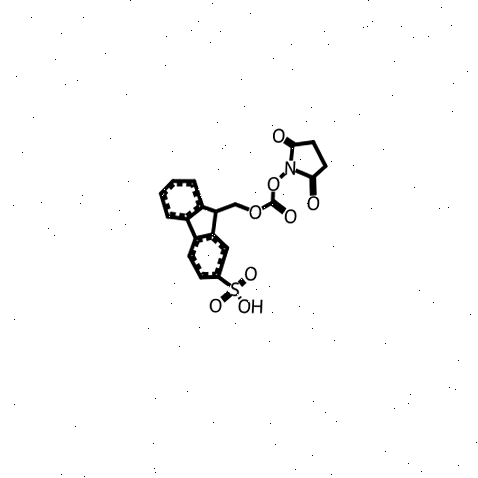 O=C(OCC1c2ccccc2-c2ccc(S(=O)(=O)O)cc21)ON1C(=O)CCC1=O